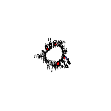 C=C/C(=C\C=C(/C)c1ccccc1)C[C@@H]1NC(=O)[C@H](CCC(C)C)NC(=O)[C@H](C(C)C)NC(=O)[C@H](CCC(=O)O)NC(=O)[C@H](CC(=O)O)NC(=O)[C@H](Cc2c[nH]cn2)NC(=O)[C@H](Cc2ccc(O)cc2)NC(=O)[C@H](CCCCC)NC(=O)[C@H](CCCNC(=N)N(C)C)NC(=O)[C@H](C)NC(=O)CSC[C@@H](C(N)=O)NC(=O)[C@H](CC(=O)O)NC(O)[C@H](CCCCc2ccccc2)NC1=O